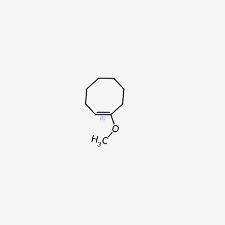 CO/C1=C/CCCCCC1